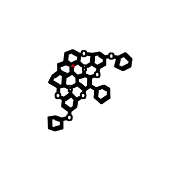 c1ccc(Oc2cc3c4c(c2)Oc2c(c(-c5ccccc5)c5c(c2-c2ccccc2)Oc2cc(Oc6ccccc6)cc6c2B5c2ccccc2O6)B4c2ccccc2O3)cc1